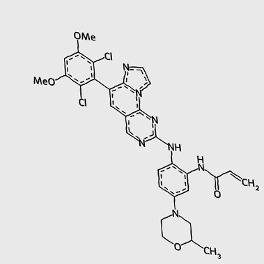 C=CC(=O)Nc1cc(N2CCOC(C)C2)ccc1Nc1ncc2cc(-c3c(Cl)c(OC)cc(OC)c3Cl)c3nccn3c2n1